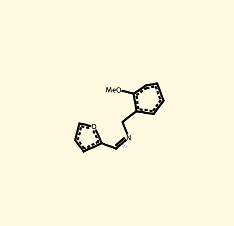 COc1ccccc1C/N=C\c1ccco1